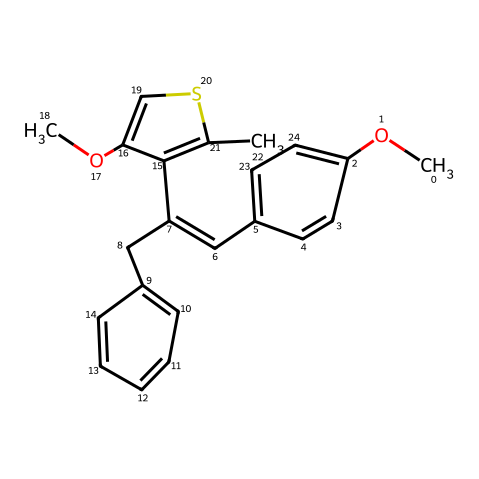 COc1ccc(C=C(Cc2ccccc2)c2c(OC)csc2C)cc1